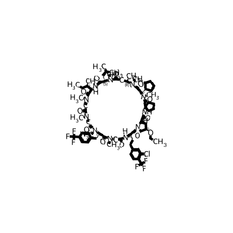 CCO[C@@H]1C[C@H]2C(=O)NC3(CCCC3)C(=O)N(C)[C@@H](C3CCCC3)C(=O)N(C)[C@H](C)CC(=O)N(C)[C@@H](CC(C)C)C(=O)N[C@@H]([C@@H](C)CC)C(=O)N(C)CC(=O)N(C)CC(=O)N(C)[C@@H](Cc3ccc(C(F)(F)F)cc3)C(=O)N(C)CC(=O)N[C@@H](CCc3ccc(C(F)(F)F)c(Cl)c3)C(=O)N2C1